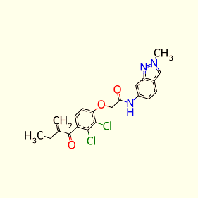 C=C(CC)C(=O)c1ccc(OCC(=O)Nc2ccc3cn(C)nc3c2)c(Cl)c1Cl